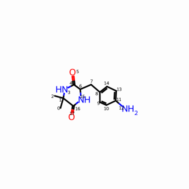 CC1(C)NC(=O)C(Cc2ccc(N)cc2)NC1=O